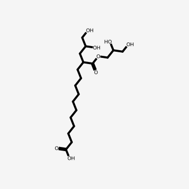 O=C(O)CCCCCCCCCCC(CC(O)CO)C(=O)OCC(O)CO